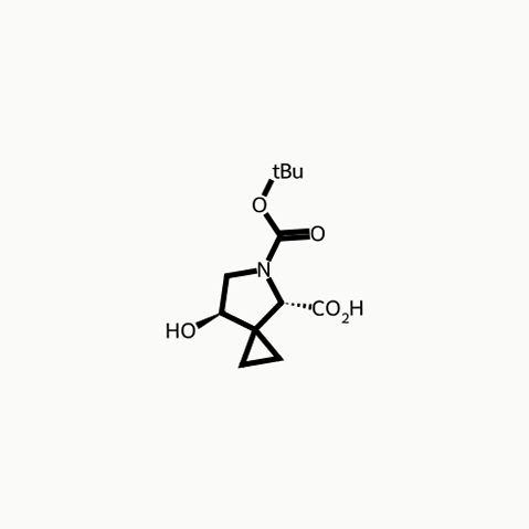 CC(C)(C)OC(=O)N1C[C@H](O)C2(CC2)[C@H]1C(=O)O